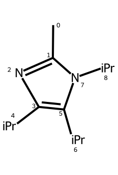 Cc1nc(C(C)C)c(C(C)C)n1C(C)C